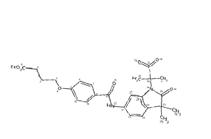 CCOC(=O)CCCOc1ccc(C(=O)Nc2ccc3c(c2)N(C(C)(C)P(=O)=O)C(=O)C3(C)C)cc1